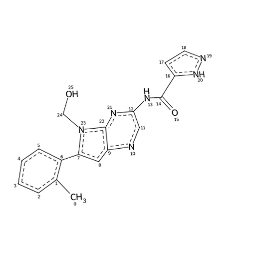 Cc1ccccc1-c1cc2ncc(NC(=O)c3ccn[nH]3)nc2n1CO